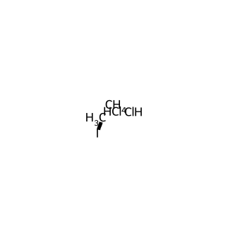 C.CI.Cl.Cl